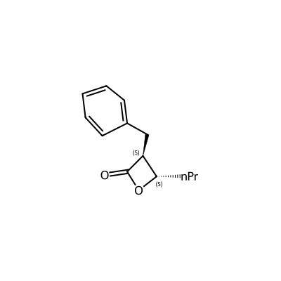 CCC[C@@H]1OC(=O)[C@H]1Cc1ccccc1